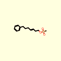 CS(=O)(=O)OCCC=CCCCc1ccccc1